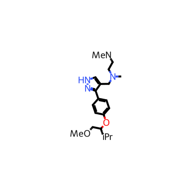 CNCCN(C)Cc1c[nH]nc1-c1ccc(OC(COC)C(C)C)cc1